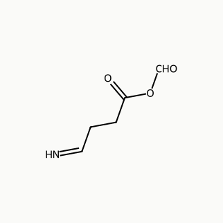 N=CCCC(=O)OC=O